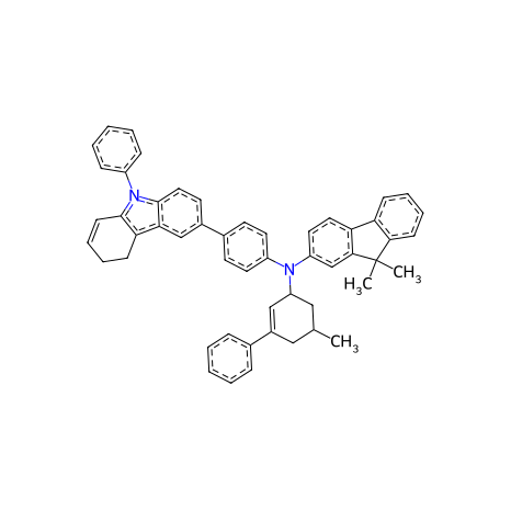 CC1CC(c2ccccc2)=CC(N(c2ccc(-c3ccc4c(c3)c3c(n4-c4ccccc4)C=CCC3)cc2)c2ccc3c(c2)C(C)(C)c2ccccc2-3)C1